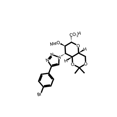 CO[C@@H]1[C@@H](n2cc(-c3ccc(Br)cc3)nn2)[C@H]2OC(C)(C)OC[C@H]2O[C@H]1C(=O)O